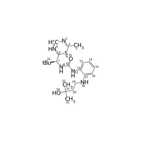 C/N=C(/C)SC(=N)[C@@H](NC(=O)Nc1ccccc1NCCC(C)(C)O)C(C)(C)C